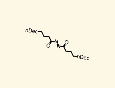 CCCCCCCCCCCCCC(=O)N=NC(=O)CCCCCCCCCCCCC